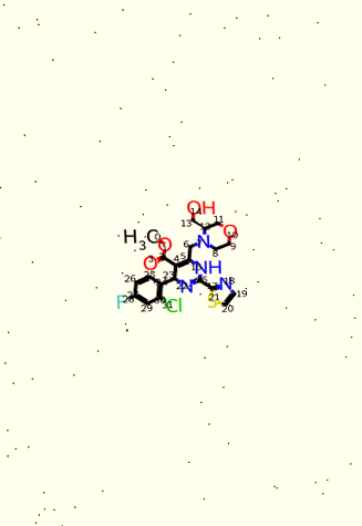 COC(=O)C1=C(CN2CCOC[C@@H]2CO)NC(c2nccs2)=NC1c1ccc(F)cc1Cl